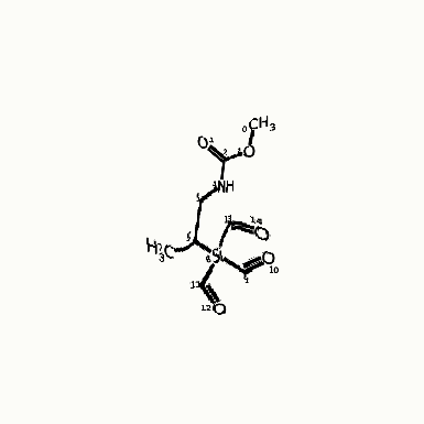 COC(=O)NCC(C)[Si](C=O)(C=O)C=O